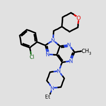 CCN1CCN(c2nc(C)nc3c2nc(-c2ccccc2Cl)n3CC2CCOCC2)CC1